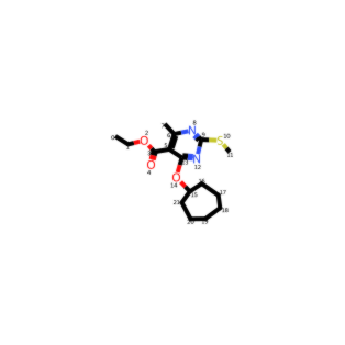 CCOC(=O)c1c(C)nc(SC)nc1OC1CCCCCC1